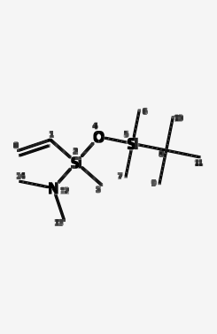 C=C[Si](C)(O[Si](C)(C)C(C)(C)C)N(C)C